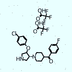 O=C(O)C(F)(F)F.O=C(O)C(F)(F)F.O=C(c1ccc(F)cc1)C1CCN([C@H]2CNCC2Oc2ccc(Cl)cc2)CC1